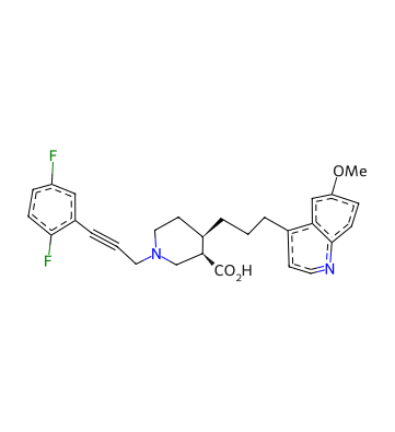 COc1ccc2nccc(CCC[C@@H]3CCN(CC#Cc4cc(F)ccc4F)C[C@@H]3C(=O)O)c2c1